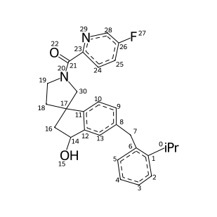 CC(C)c1ccccc1Cc1ccc2c(c1)C(O)CC21CCN(C(=O)c2ccc(F)cn2)C1